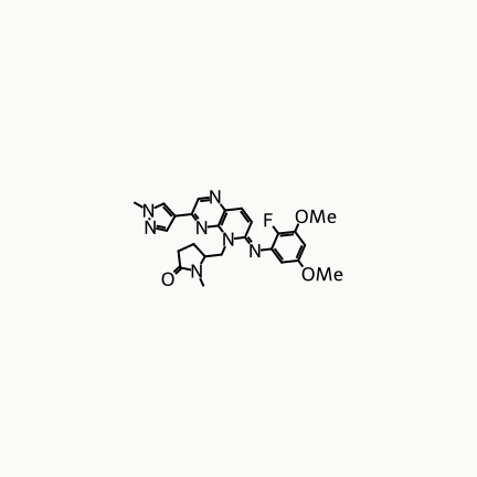 COc1cc(/N=c2\ccc3ncc(-c4cnn(C)c4)nc3n2CC2CCC(=O)N2C)c(F)c(OC)c1